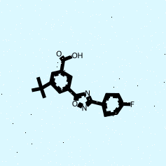 CC(C)(C)c1cc(C(=O)O)cc(-c2nc(-c3ccc(F)cc3)no2)c1